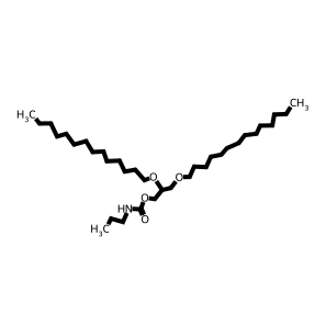 CCCCCCCCCCCCCCOCC(COC(=O)NCCC)OCCCCCCCCCCCCCC